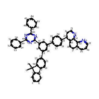 CC1(C)c2ccccc2-c2ccc(-c3cc(-c4ccc(-c5ccnc6c5ccc5cccnc56)cc4)cc(-c4nc(-c5ccccc5)nc(-c5ccccc5)n4)c3)cc21